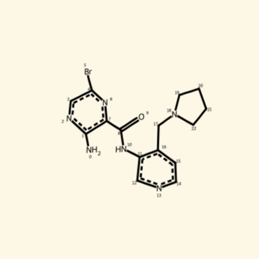 Nc1ncc(Br)nc1C(=O)Nc1cnccc1CN1CCCC1